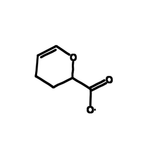 [O]C(=O)C1CCC=CO1